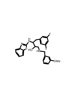 COc1cccc(CNCC(O)C(Cc2cc(F)cc(F)c2)Nc2nc3ccccc3s2)c1